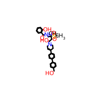 CC(CNC(=O)c1ccccc1O)(CC(O)N1CC=C(c2ccc(-c3ccc(CO)cc3)cc2)CC1)S(C)(=O)=O